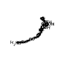 Cc1c(O)cc(O)c(C(=O)N2Cc3ccc(CN4CCN(CCOCCOCCOCCOCCOCN)CC4)cc3C2)c1OCc1ccccc1